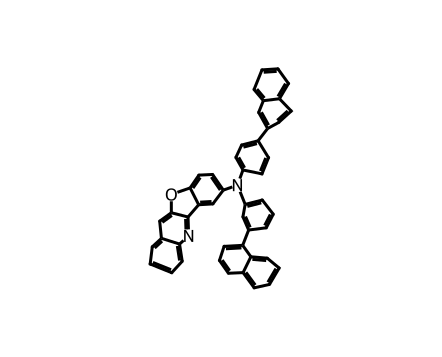 c1cc(-c2cccc3ccccc23)cc(N(c2ccc(-c3ccc4ccccc4c3)cc2)c2ccc3oc4cc5ccccc5nc4c3c2)c1